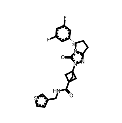 O=C(NCc1ccsc1)C12CC(n3nc4n(c3=O)[C@H](c3cc(F)cc(F)c3)CC4)(C1)C2